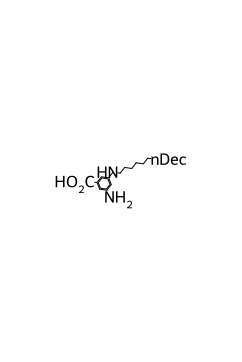 CCCCCCCCCCCCCCCCNc1cc(N)cc(C(=O)O)c1